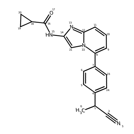 CC(C#N)c1ccc(-c2cccc3nc(NC(=O)C4CC4)cn23)cc1